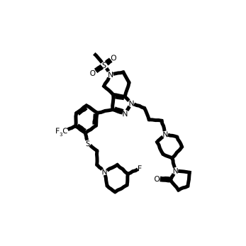 CS(=O)(=O)N1CCc2c(c(-c3ccc(C(F)(F)F)c(SCCN4CCCC(F)C4)c3)nn2CCCN2CCC(N3CCCC3=O)CC2)C1